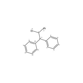 CCC(C(C)C)P(c1ccccc1)c1ccccc1